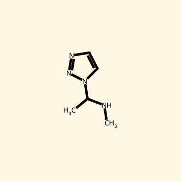 CNC(C)n1ccnn1